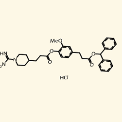 COc1cc(CCC(=O)OC(c2ccccc2)c2ccccc2)ccc1OC(=O)CCC1CCN(C(=N)N)CC1.Cl